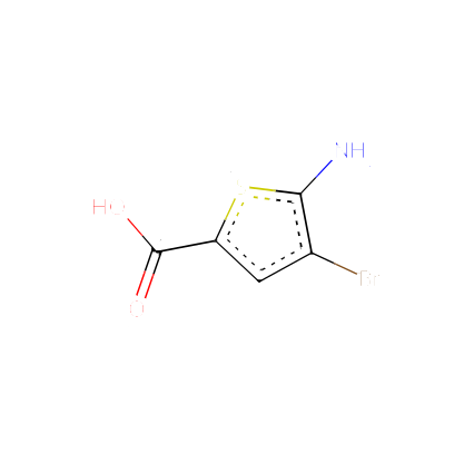 Nc1sc(C(=O)O)cc1Br